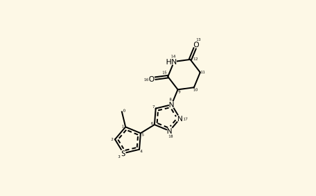 Cc1cscc1-c1cn(C2CCC(=O)NC2=O)nn1